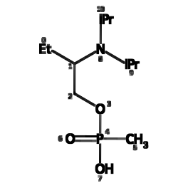 CCC(COP(C)(=O)O)N(C(C)C)C(C)C